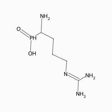 NC(N)=NCCCC(N)[PH](=O)O